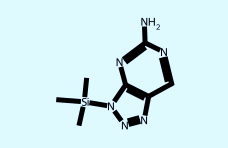 C[Si](C)(C)n1nnc2cnc(N)nc21